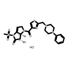 CC(C)[C@@H]1C(=O)N(S(C)(=O)=O)C2=CCN(C(=O)c3csc(CN4CCN(c5ccccc5)CC4)n3)[C@H]21.Cl